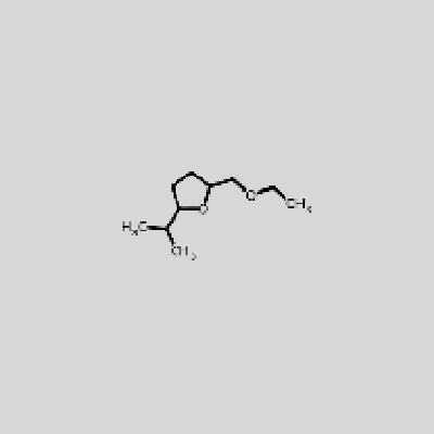 CCOCC1CCC(C(C)C)O1